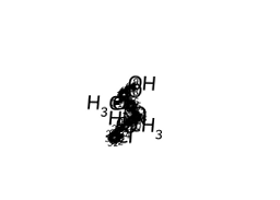 COc1ccc(CC(=O)O)cc1-c1ccc(-c2onc(C)c2NC(=O)OCCc2ccccc2Cl)cc1